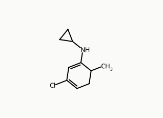 CC1CC=C(Cl)C=C1NC1CC1